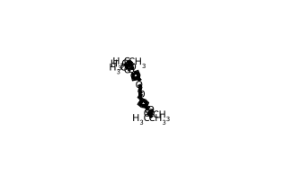 CC1OB(c2ccc(COCCOCc3ccc(B4OC(C)(C)C(C)(C)O4)cc3)cc2)OC1(C)C